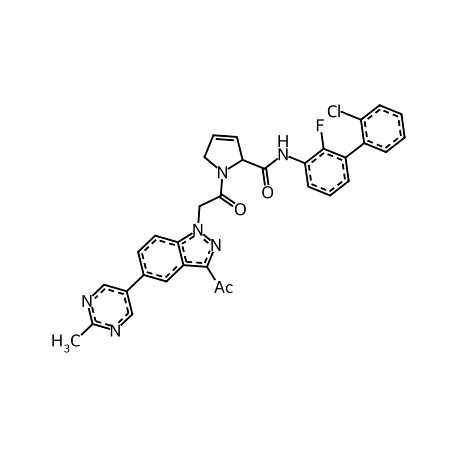 CC(=O)c1nn(CC(=O)N2CC=CC2C(=O)Nc2cccc(-c3ccccc3Cl)c2F)c2ccc(-c3cnc(C)nc3)cc12